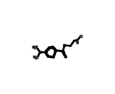 CCNCCOC(=O)c1ccc(N(C)C)cc1